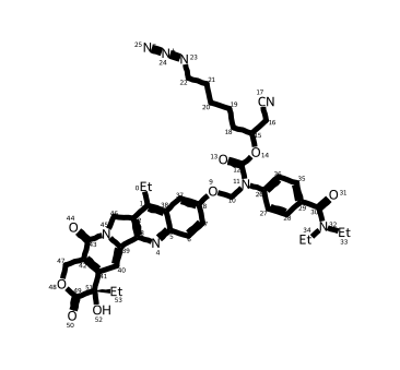 CCc1c2c(nc3ccc(OCN(C(=O)OC(CC#N)CCCCCN=[N+]=[N-])c4ccc(C(=O)N(CC)CC)cc4)cc13)-c1cc3c(c(=O)n1C2)COC(=O)[C@]3(O)CC